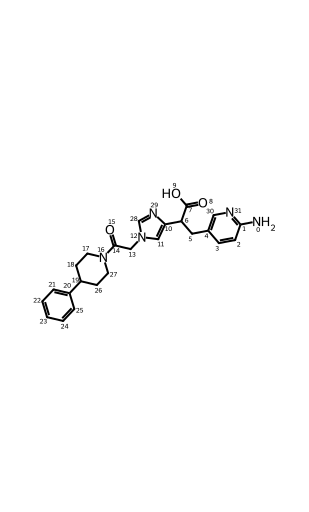 Nc1ccc(CC(C(=O)O)c2cn(CC(=O)N3CCC(c4ccccc4)CC3)cn2)cn1